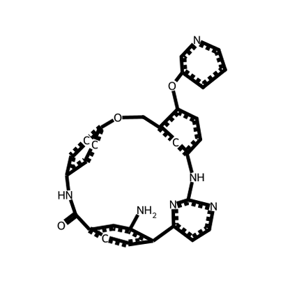 Nc1cc2ccc1-c1ccnc(n1)Nc1ccc(Oc3cccnc3)c(c1)COc1ccc(cc1)NC2=O